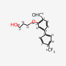 O=Cc1ccc(-c2ccc(C(F)(F)F)cc2)cc1OCCCO